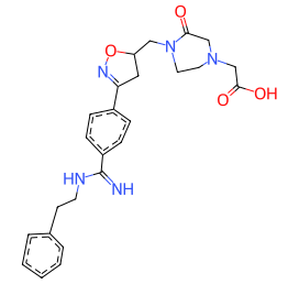 N=C(NCCc1ccccc1)c1ccc(C2=NOC(CN3CCN(CC(=O)O)CC3=O)C2)cc1